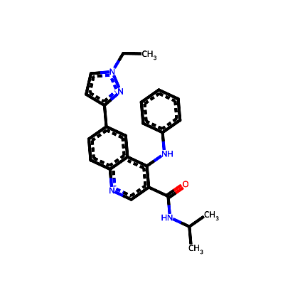 CCn1ccc(-c2ccc3ncc(C(=O)NC(C)C)c(Nc4ccccc4)c3c2)n1